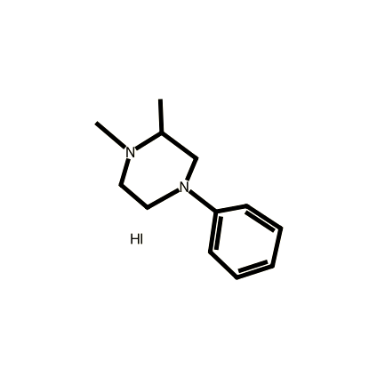 CC1CN(c2ccccc2)CCN1C.I